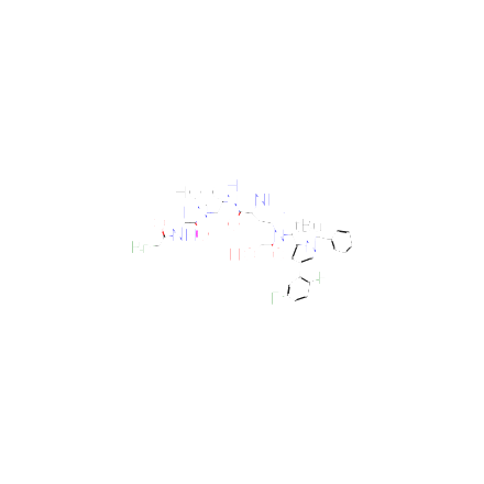 CC(C)(C)C(c1cc(-c2cc(F)ccc2F)cn1Cc1ccccc1)N(CC[C@H](N)C(=O)NC(CNC(=O)CNC(=O)CBr)C(=O)O)C(=O)CO